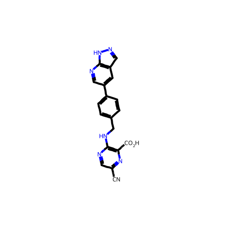 N#Cc1cnc(NCc2ccc(-c3cnc4[nH]ncc4c3)cc2)c(C(=O)O)n1